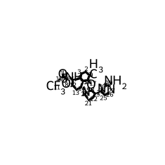 Cc1ccc2c(NS(=O)(=O)CC(F)(F)F)cccc2c1Oc1ncccc1-c1ccnc(N)n1